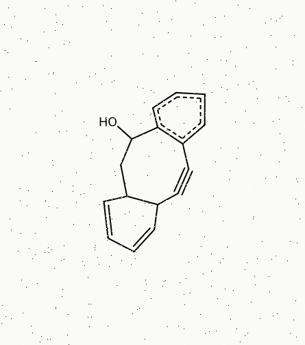 OC1CC2C=CC=CC2C#Cc2ccccc21